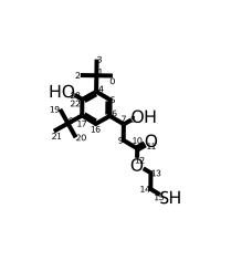 CC(C)(C)c1cc(C(O)CC(=O)OCCS)cc(C(C)(C)C)c1O